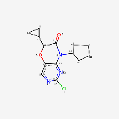 O=C1C(C2CC2)Oc2cnc(Cl)nc2N1C1CCCC1